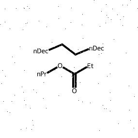 CCCCCCCCCCCCCCCCCCCCCC.CCCOC(=O)CC